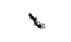 O=C(C=Cc1ccc(O)c(O)c1)NCC1CN(c2ccc(N3CCOCC3)c(F)c2)C(=O)O1